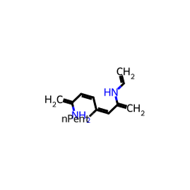 C=CNC(=C)/C=C(\C=C/C(=C)N)CCCCC